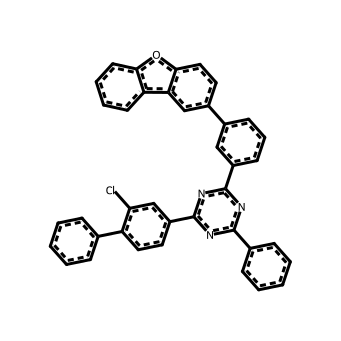 Clc1cc(-c2nc(-c3ccccc3)nc(-c3cccc(-c4ccc5oc6ccccc6c5c4)c3)n2)ccc1-c1ccccc1